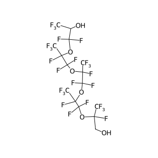 OCC(F)(OC(F)(F)C(F)(OC(F)(F)C(F)(OC(F)(F)C(F)(OC(F)(F)C(O)C(F)(F)F)C(F)(F)F)C(F)(F)F)C(F)(F)F)C(F)(F)F